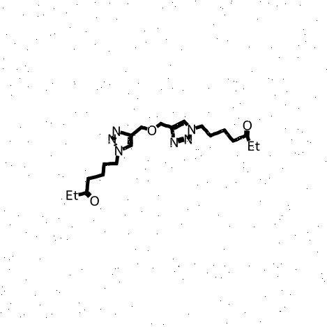 CCC(=O)CCCCn1cc(COCc2cn(CCCCC(=O)CC)nn2)nn1